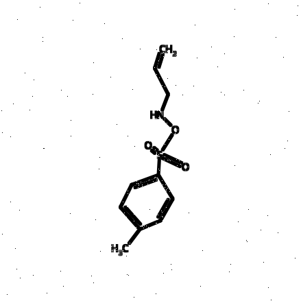 C=CCNOS(=O)(=O)c1ccc(C)cc1